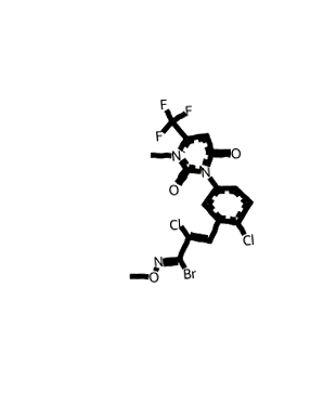 CON=C(Br)C(Cl)=Cc1cc(-n2c(=O)cc(C(F)(F)F)n(C)c2=O)ccc1Cl